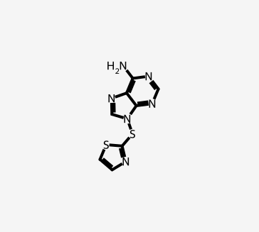 Nc1ncnc2c1ncn2Sc1nccs1